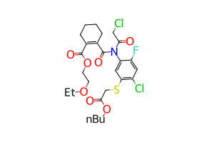 CCCCOC(=O)CSc1cc(N(C(=O)CCl)C(=O)C2=C(C(=O)OCCOCC)CCCC2)c(F)cc1Cl